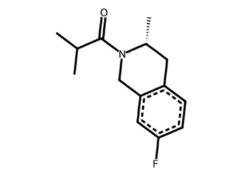 CC(C)C(=O)N1Cc2cc(F)ccc2C[C@H]1C